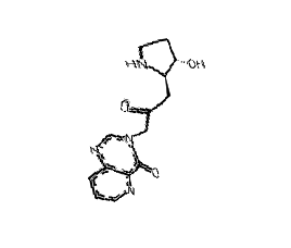 O=C(C[C@H]1NCC[C@@H]1O)Cn1cnc2cccnc2c1=O